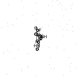 COc1cc(F)cc(-c2cccc3[nH]c(-c4n[nH]c5ccc(-c6cncc(CNCc7ccccc7)c6)nc45)nc23)c1